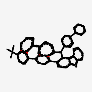 CC(C)(C)c1ccc(-c2ccc(-c3ccc4oc5ccccc5c4c3N(c3ccc(-c4ccccc4)cc3)c3ccc(-c4ccccc4)cc3)cc2)cc1